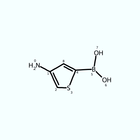 Nc1csc(B(O)O)c1